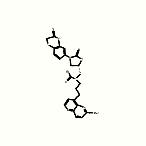 CCC(=O)N(CCCc1ccnc2ccc(OC)nc12)C[C@@H]1CN(c2ccc3c(c2)NC(=O)CS3)C(=O)O1